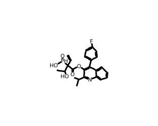 C=CC(C(=O)Oc1c(C(C)C)nc2ccccc2c1-c1ccc(F)cc1)(C(C)O)[PH](=O)O